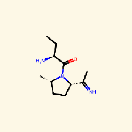 CC[C@H](N)C(=O)N1[C@@H](C)CC[C@H]1C(C)=N